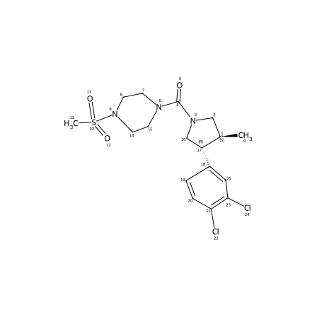 C[C@@H]1CN(C(=O)N2CCN(S(C)(=O)=O)CC2)C[C@H]1c1ccc(Cl)c(Cl)c1